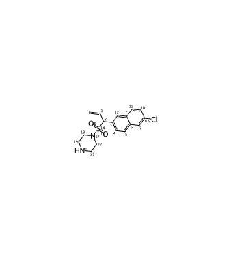 C=CC(c1ccc2cc(Cl)ccc2c1)S(=O)(=O)N1CCNCC1